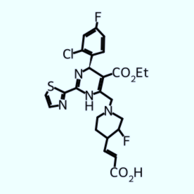 CCOC(=O)C1=C(CN2CCC(/C=C/C(=O)O)C(F)C2)NC(c2nccs2)=N[C@H]1c1ccc(F)cc1Cl